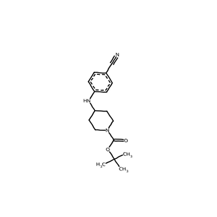 CC(C)(C)OC(=O)N1CCC(Nc2ccc(C#N)cc2)CC1